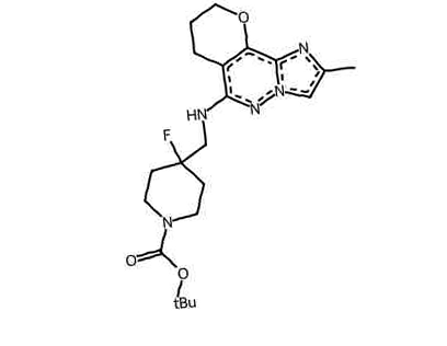 Cc1cn2nc(NCC3(F)CCN(C(=O)OC(C)(C)C)CC3)c3c(c2n1)OCCC3